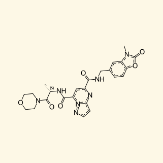 C[C@H](NC(=O)c1cc(C(=O)NCc2ccc3oc(=O)n(C)c3c2)nc2ccnn12)C(=O)N1CCOCC1